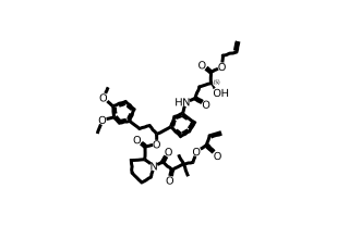 C=CCOC(=O)[C@@H](O)CC(=O)Nc1cccc(C(CCc2ccc(OC)c(OC)c2)OC(=O)C2CCCCN2C(=O)C(=O)C(C)(C)COC(=O)C=C)c1